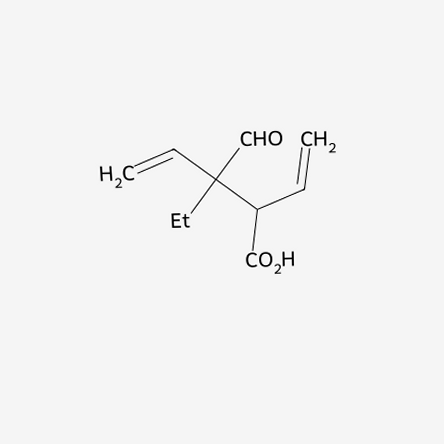 C=CC(C(=O)O)C(C=C)(C=O)CC